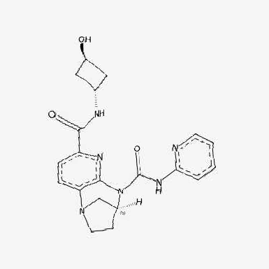 O=C(N[C@H]1C[C@H](O)C1)c1ccc2c(n1)N(C(=O)Nc1ccccn1)[C@H]1CCN2C1